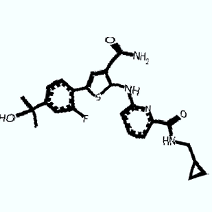 CC(C)(O)c1ccc(C2=CC(C(N)=O)C(Nc3cccc(C(=O)NCC4CC4)n3)S2)c(F)c1